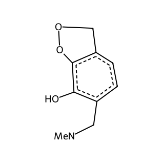 CNCc1ccc2c(c1O)OOC2